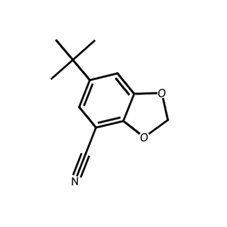 CC(C)(C)c1cc(C#N)c2c(c1)OCO2